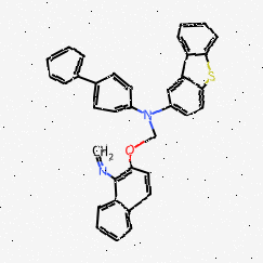 C=Nc1c(OCN(c2ccc(-c3ccccc3)cc2)c2ccc3sc4ccccc4c3c2)ccc2ccccc12